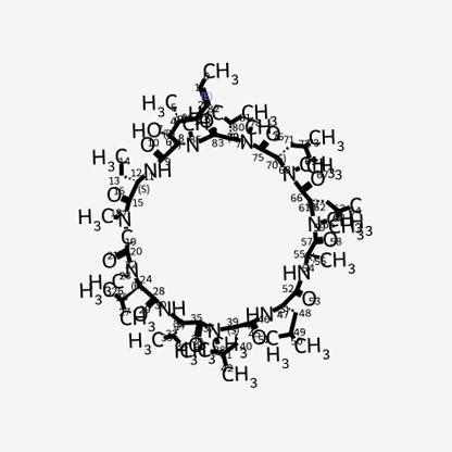 C/C=C/C[C@@H](C)[C@@H](O)[C@H]1C(=O)N[C@@H](CC)C(=O)N(C)CC(=O)N(C)[C@H](C(C)C)C(=O)N[C@@H](C(C)C)C(=O)N(C)[C@@H](CC(C)C)C(=O)N[C@@H](CC(C)C)C(=O)N[C@H](C)C(=O)N(C)[C@@H](CC(C)C)C(=O)N(C)[C@@H](CC(C)C)C(=O)N(C)[C@@H](C(C)C)C(=O)N1C